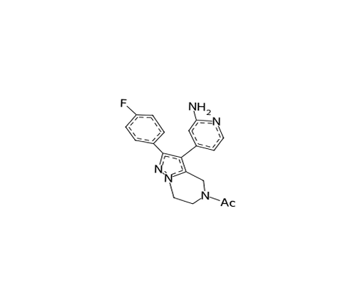 CC(=O)N1CCn2nc(-c3ccc(F)cc3)c(-c3ccnc(N)c3)c2C1